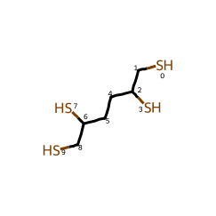 SCC(S)CCC(S)CS